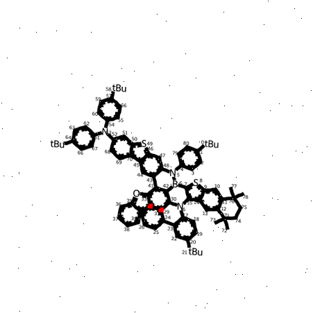 CC(C)(C)c1ccc(N2B3c4sc5cc6c(cc5c4N(c4ccc(C(C)(C)C)cc4-c4ccccc4)c4cc5c(oc7ccccc75)c(c43)-c3cc4c(cc32)sc2cc(N(c3ccc(C(C)(C)C)cc3)c3ccc(C(C)(C)C)cc3)ccc24)C(C)(C)CCC6(C)C)cc1